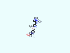 Cc1cc(-c2nc(C#N)nc3c2ccn3C)cnc1OCC1CCN(CC(C)(C)O)CC1